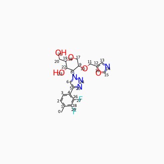 Cc1ccc(-c2cn(C3C(OCc4cnco4)COC(CO)C3O)nn2)c(F)c1F